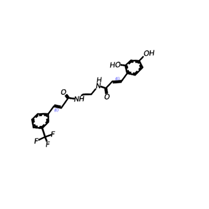 O=C(/C=C/c1cccc(C(F)(F)F)c1)NCCNC(=O)/C=C/c1ccc(O)cc1O